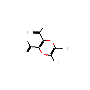 C=C(C)C1=C(C(=C)C)OC(C)=C(C)O1